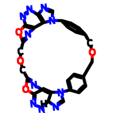 C1=N[C@@H]2NN=c3oc4nc3=C2N1c1ccc(cc1)COCc1ccc(cc1)-n1cnc2nnc3oc(nc3c21)COC4